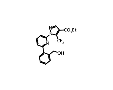 CCOC(=O)c1cnn(-c2cccc(-c3ccccc3CO)n2)c1C(F)(F)F